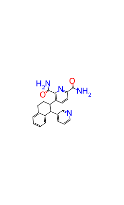 NC(=O)c1ccc(C2CCc3ccccc3C2c2cccnc2)c(C(N)=O)n1